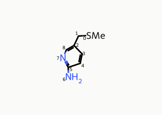 CSCc1ccc(N)nc1